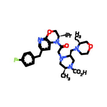 CC(C)[C@H]1COc2ncc(Cc3ccc(F)cc3)cc2N1C(=O)CN1C[C@@H](C)N(C(=O)O)C[C@@H]1CN1CCOC[C@H]1C